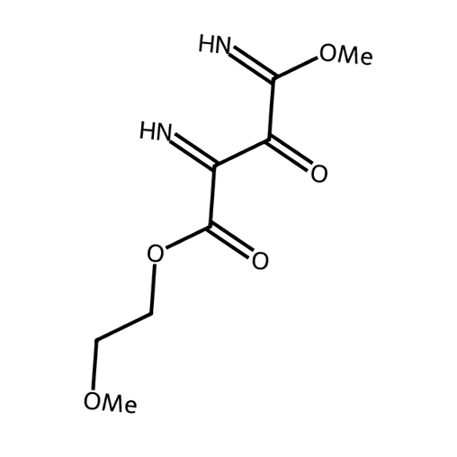 COCCOC(=O)C(=N)C(=O)C(=N)OC